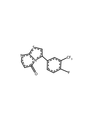 O=c1ccnc2scc(-c3ccc(F)c(C(F)(F)F)c3)n12